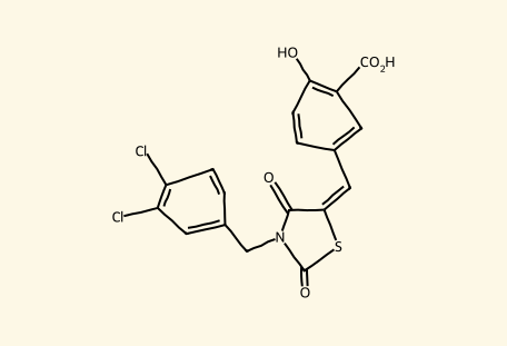 O=C(O)c1cc(C=C2SC(=O)N(Cc3ccc(Cl)c(Cl)c3)C2=O)ccc1O